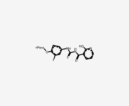 CCCCCOc1ccc(NC(=S)NC(=O)c2cccnc2O)cc1F